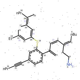 C=C(/C=C\C(=C/CCCC)CCN)c1ccc(C#CCCC)cc1SC(/C=C(\C)CC)=C/C(C)=C(\C)CCC